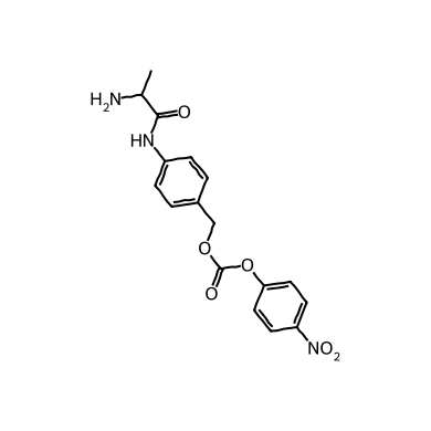 CC(N)C(=O)Nc1ccc(COC(=O)Oc2ccc([N+](=O)[O-])cc2)cc1